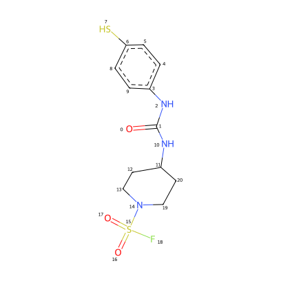 O=C(Nc1ccc(S)cc1)NC1CCN(S(=O)(=O)F)CC1